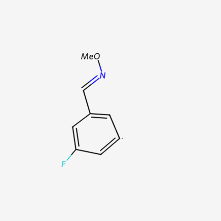 CO/N=C/c1c[c]cc(F)c1